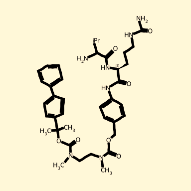 CC(C)C(N)C(=O)N[C@@H](CCCNC(N)=O)C(=O)Nc1ccc(COC(=O)N(C)CCN(C)C(=O)OC(C)(C)c2ccc(-c3ccccc3)cc2)cc1